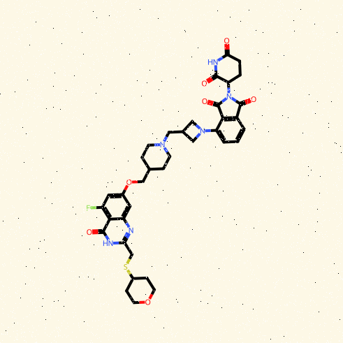 O=C1CCC(N2C(=O)c3cccc(N4CC(CN5CCC(COc6cc(F)c7c(=O)[nH]c(CSC8CCOCC8)nc7c6)CC5)C4)c3C2=O)C(=O)N1